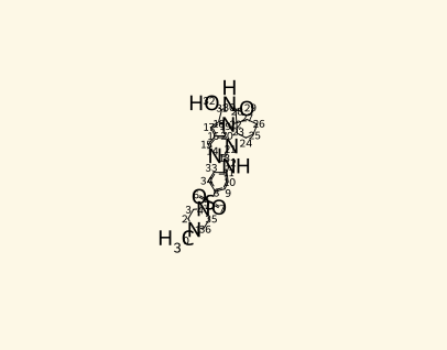 CN1CCN(S(=O)(=O)c2ccc(Nc3ncc4cc5n(c4n3)C3(CCCCC3)C(=O)NC5O)cc2)CC1